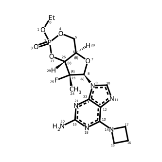 CCOP1(=O)OC[C@H]2O[C@@H](n3cnc4c(N5CCC5)nc(N)nc43)[C@](C)(F)[C@@H]2O1